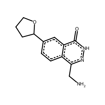 NCc1n[nH]c(=O)c2cc(C3CCCO3)ccc12